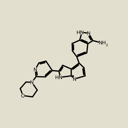 Nc1n[nH]c2ccc(-c3ccnc4[nH]c(-c5ccnc(N6CCOCC6)c5)cc34)cc12